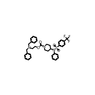 O=C(OCCN(Cc1ccccc1)Cc1ccccc1)N1CCC(N(c2ccccc2)S(=O)(=O)c2ccc(C(F)(F)F)cc2)CC1